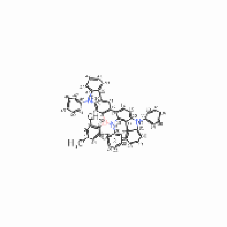 Cc1cc(C)c(B2c3cc4c(cc3-c3ccc5c(c3N2c2ccccc2)c2ccccc2n5-c2ccccc2)c2ccccc2n4-c2ccccc2)c(C)c1